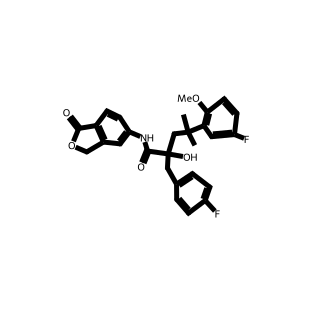 COc1ccc(F)cc1C(C)(C)CC(O)(Cc1ccc(F)cc1)C(=O)Nc1ccc2c(c1)COC2=O